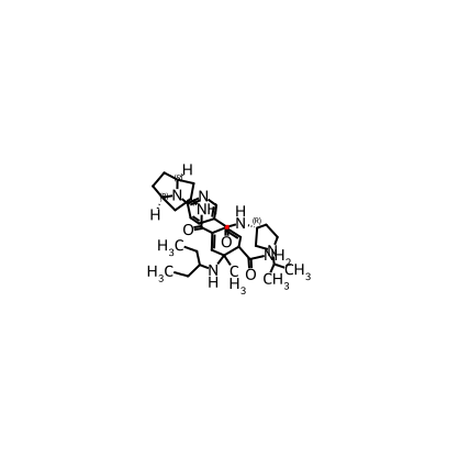 CCC(CC)NC1(C)C=C(C(=O)N[C@H]2C[C@H]3CC[C@@H](C2)N3c2ccc(C(=O)N[C@@H]3CCN(C(C)C)C3)cn2)C=CC1C(N)=O